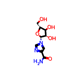 NC(=O)c1cn([C@@H]2O[C@H](CO)C(O)[C@@H]2O)cn1